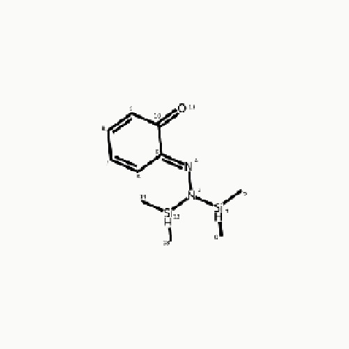 C[SiH](C)N(N=C1C=CC=CC1=O)[SiH](C)C